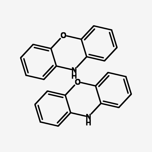 c1ccc2c(c1)Nc1ccccc1O2.c1ccc2c(c1)Nc1ccccc1O2